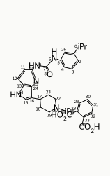 CC(C)c1cccc(NC(=O)Nc2ccc3[nH]cc(C4CCN(C(C)C)CC4)c3n2)c1.O=C(O)c1ccccc1C(=O)O